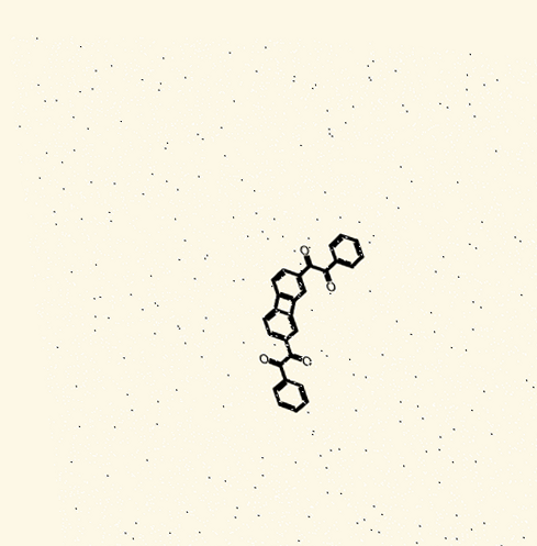 O=C(C(=O)c1ccc2c(c1)-c1cc(C(=O)C(=O)c3ccccc3)ccc1-2)c1ccccc1